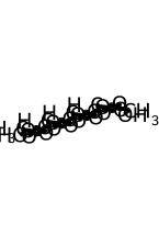 CC(O)COC(=O)c1ccc(C(=O)OC(C)COC(=O)c2ccc(C(=O)OC(C)COC(=O)c3ccc(C(=O)OC(C)COC(=O)c4ccc(C(=O)OC(C)CO)cc4)cc3)cc2)cc1